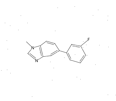 Cn1cnc2cc(-c3cc[c]c(F)c3)ccc21